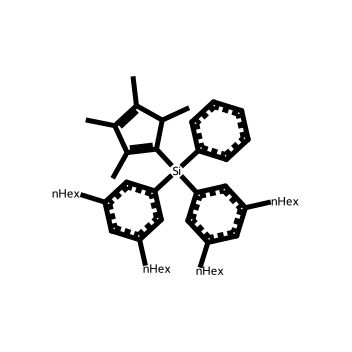 CCCCCCc1cc(CCCCCC)cc([Si](C2=C(C)C(C)=C(C)C2C)(c2ccccc2)c2cc(CCCCCC)cc(CCCCCC)c2)c1